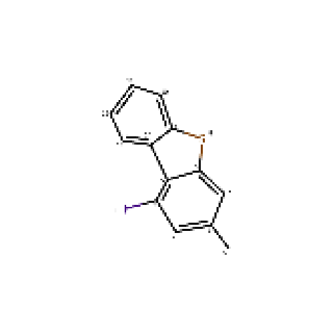 Cc1cc(I)c2c(c1)sc1ccccc12